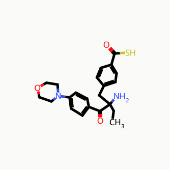 CCC(N)(Cc1ccc(C(=O)S)cc1)C(=O)c1ccc(N2CCOCC2)cc1